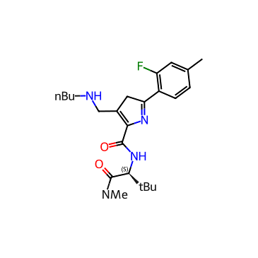 CCCCNCC1=C(C(=O)N[C@H](C(=O)NC)C(C)(C)C)N=C(c2ccc(C)cc2F)C1